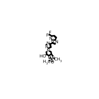 CN(CC1CC(O)CN(c2cc(-c3cnc4ccc(C(F)F)nn34)ncn2)C1)S(C)(=O)=O